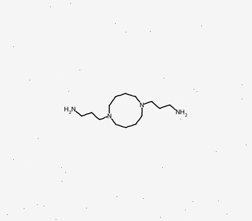 NCCCN1CCCCN(CCCN)CCCC1